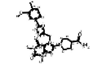 COc1cc(-c2nnc(Cn3c(N4CCC(C(N)=O)CC4)nc4c3c(=O)n(C)c(=O)n4C)o2)ccc1C